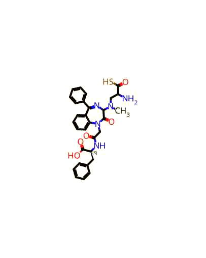 CN(CC(N)C(=O)S)C1N=C(c2ccccc2)c2ccccc2N(CC(=O)N[C@@H](Cc2ccccc2)C(=O)O)C1=O